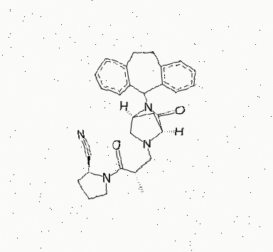 C[C@@H](CN1C[C@@H]2C[C@H]1C(=O)N2C1c2ccccc2CCc2ccccc21)C(=O)N1CCC[C@H]1C#N